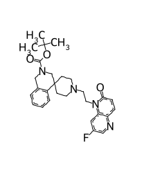 CC(C)(C)OC(=O)N1Cc2ccccc2C2(CCN(CCn3c(=O)ccc4ncc(F)cc43)CC2)C1